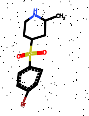 [CH2]C1CC(S(=O)(=O)c2ccc(Br)cc2)CCN1